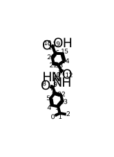 CC(C)c1ccc(C(=O)NNC(=O)c2ccc(C(=O)O)cc2)cc1